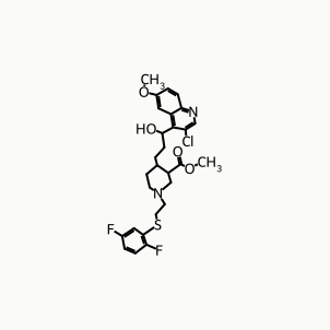 COC(=O)C1CN(CCSc2cc(F)ccc2F)CCC1CCC(O)c1c(Cl)cnc2ccc(OC)cc12